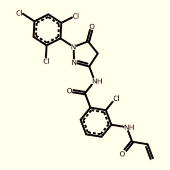 C=CC(=O)Nc1cccc(C(=O)NC2=NN(c3c(Cl)cc(Cl)cc3Cl)C(=O)C2)c1Cl